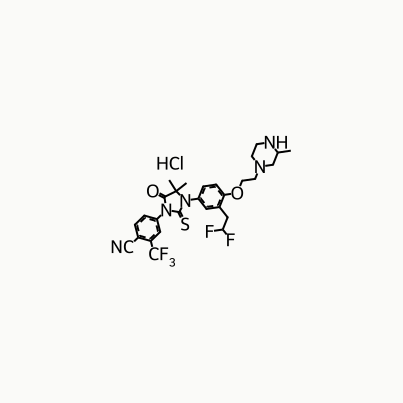 CC1CN(CCOc2ccc(N3C(=S)N(c4ccc(C#N)c(C(F)(F)F)c4)C(=O)C3(C)C)cc2CC(F)F)CCN1.Cl